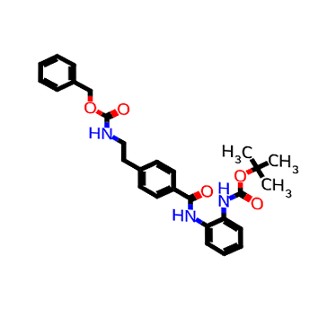 CC(C)(C)OC(=O)Nc1ccccc1NC(=O)c1ccc(CCNC(=O)OCc2ccccc2)cc1